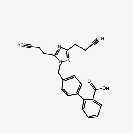 C#CCCc1nc(CCC#C)n(Cc2ccc(-c3ccccc3C(=O)O)cc2)n1